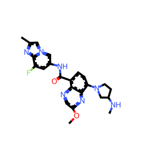 CNC1CCN(c2ccc(C(=O)Nc3cc(F)c4nc(C)cn4c3)c3ncc(OC)nc23)C1